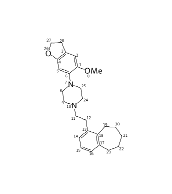 COc1cc2c(cc1N1CCN(CCc3cccc4c3CCCCC4)CC1)OCC2